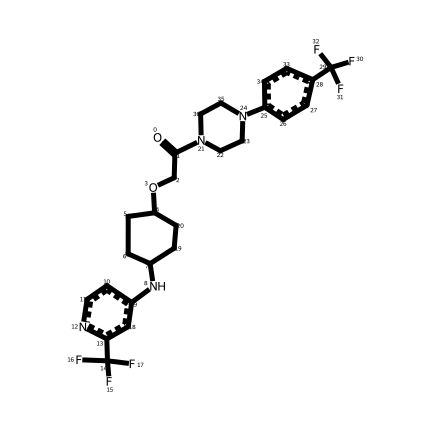 O=C(COC1CCC(Nc2ccnc(C(F)(F)F)c2)CC1)N1CCN(c2ccc(C(F)(F)F)cc2)CC1